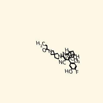 C=CC(=O)N1CC2(CCN(c3nc4c(c(-c5cc(O)c(F)cc5Cl)c3C#N)C[C@H]3C[C@@H]4C3(C)C)C2)C1